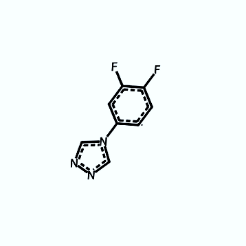 Fc1c[c]c(-n2cnnc2)cc1F